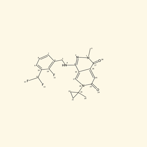 Cn1nc(NCc2cccc(C(F)F)c2F)c2cn(C3(C)CC3)c(=O)cc2c1=O